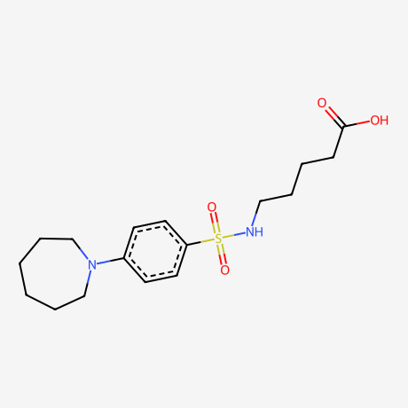 O=C(O)CCCCNS(=O)(=O)c1ccc(N2CCCCCC2)cc1